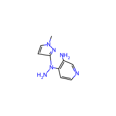 Cn1ccc(N(N)c2ccncc2N)n1